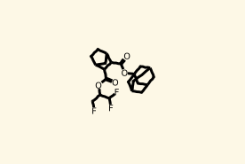 O=C(OC(CF)C(F)F)C1C2CCC(C2)C1C(=O)OC12CC3CC(CC(C3)C1)C2